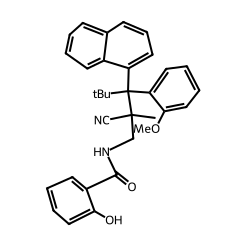 COc1ccccc1C(c1cccc2ccccc12)(C(C)(C)C)C(C)(C#N)CNC(=O)c1ccccc1O